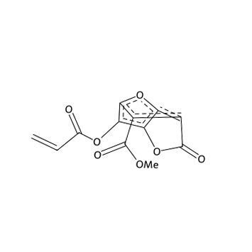 C=CC(=O)Oc1c2c3oc1c(C(=O)OC)c3C(=O)O2